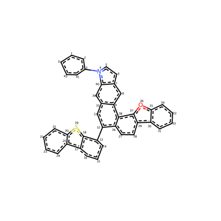 c1ccc(-n2ccc3cc4c(cc(-c5cccc6c5sc5ccccc56)c5ccc6c7ccccc7oc6c54)cc32)cc1